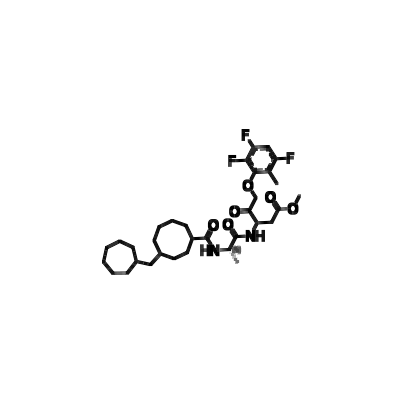 COC(=O)CC(NC(=O)[C@H](C)NC(=O)C1CCCCC(CC2CCCCCC2)CC1)C(=O)COc1c(C)c(F)cc(F)c1F